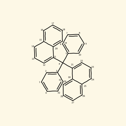 c1ccc(C(c2ccccc2)(c2cccc3ccccc23)c2cccc3ccccc23)cc1